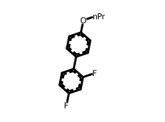 CCCOc1ccc(-c2ccc(F)cc2F)cc1